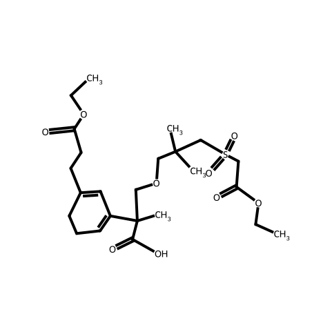 CCOC(=O)CCC1=CC(C(C)(COCC(C)(C)CS(=O)(=O)CC(=O)OCC)C(=O)O)=CCC1